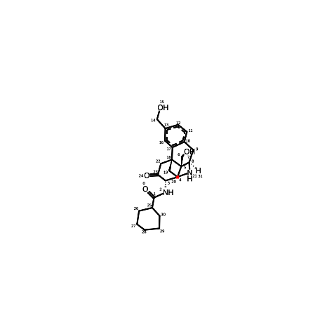 O=C(N[C@H]1C[C@@]2(CO)[C@H]3Cc4ccc(CO)cc4[C@@]2(CCN3)CC1=O)C1CCCCC1